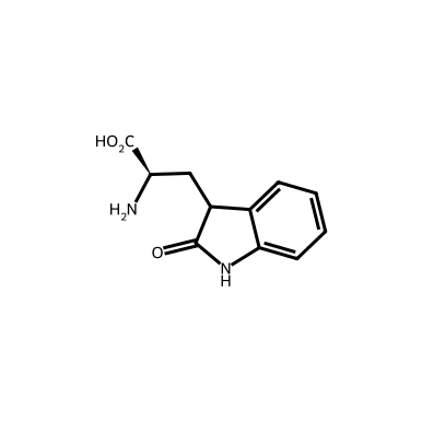 N[C@H](CC1C(=O)Nc2ccccc21)C(=O)O